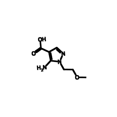 COCCn1ncc(C(=O)O)c1N